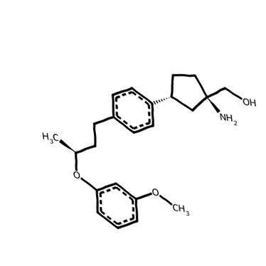 COc1cccc(O[C@@H](C)CCc2ccc([C@@H]3CC[C@](N)(CO)C3)cc2)c1